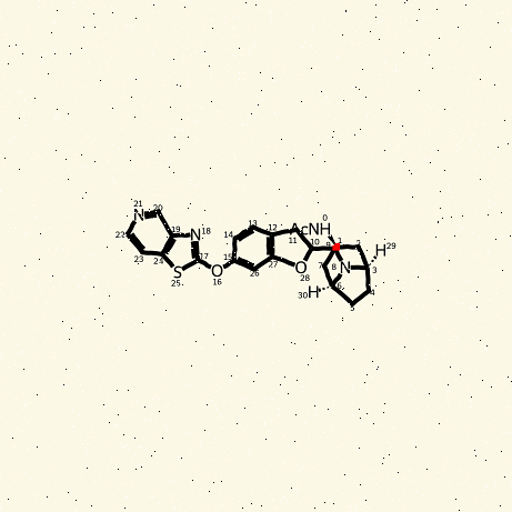 CC(=O)N[C@H]1C[C@H]2CC[C@@H](C1)N2CC1Cc2ccc(Oc3nc4cnccc4s3)cc2O1